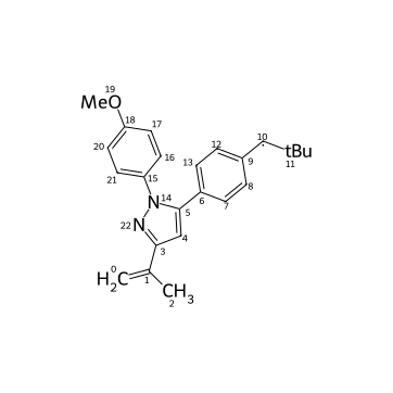 C=C(C)c1cc(-c2ccc([CH]C(C)(C)C)cc2)n(-c2ccc(OC)cc2)n1